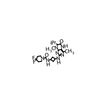 Cc1nc(NC2CC(NC(=O)N3CCC(F)(F)CC3)C2)nc2c1NC(=O)C(C(C)C)N2C